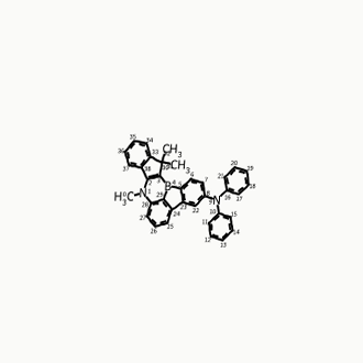 CN1C2=C(B3c4ccc(N(c5ccccc5)c5ccccc5)cc4-c4cccc1c43)C(C)(C)c1ccccc12